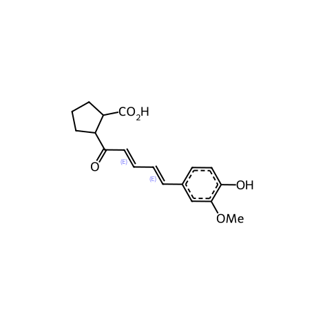 COc1cc(/C=C/C=C/C(=O)C2CCCC2C(=O)O)ccc1O